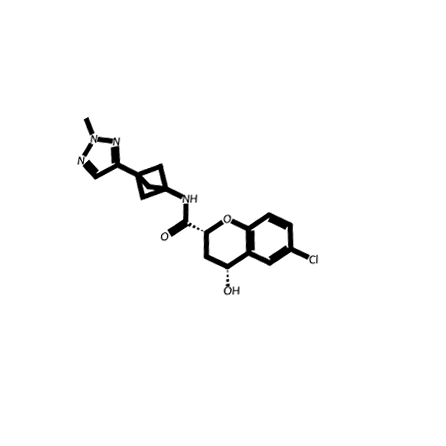 Cn1ncc(C23CC(NC(=O)[C@H]4C[C@@H](O)c5cc(Cl)ccc5O4)(C2)C3)n1